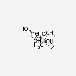 CC(C)=CCC(O)(Cc1ccccc1)C(C)CCC[C@]1(C)OC/C(=C/CO)CC[C@H]1O